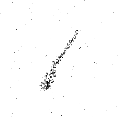 COCCOCCOCCOCCOCCOCCOCC(=O)OC[C@@H]1CN(c2ccc3cc(-c4ccccc4C(F)(F)F)[nH]c(=O)c3c2)C(=O)O1